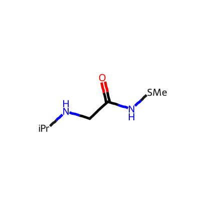 CSNC(=O)CNC(C)C